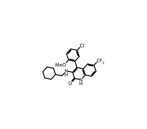 COc1ccc(Cl)cc1-c1c(NCC2CCCCC2)c(=O)[nH]c2ccc(C(F)(F)F)cc12